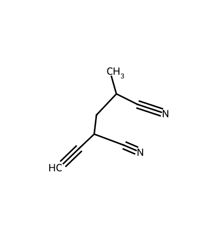 C#CC(C#N)CC(C)C#N